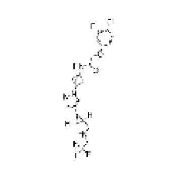 O=C(COc1ccc(Cl)c(F)c1)NC12CC(n3cc(C4[C@H]5CN(CC(F)(F)F)C[C@@H]45)cn3)(C1)C2